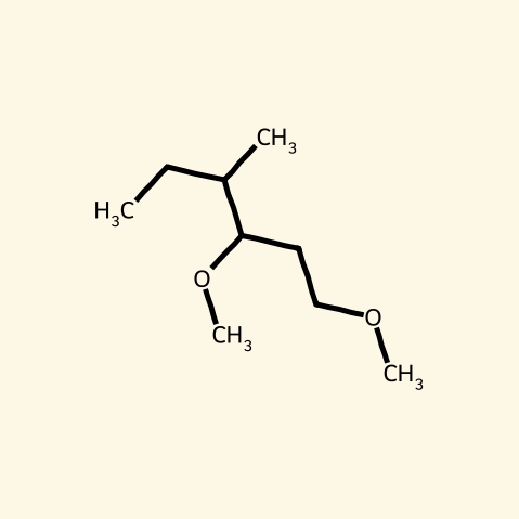 CCC(C)C(CCOC)OC